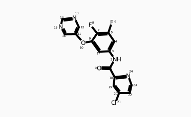 O=C(Nc1cc(F)c(F)c(Oc2cncnc2)c1)c1cc(Cl)ccn1